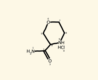 Cl.NC(=O)C1COCCN1